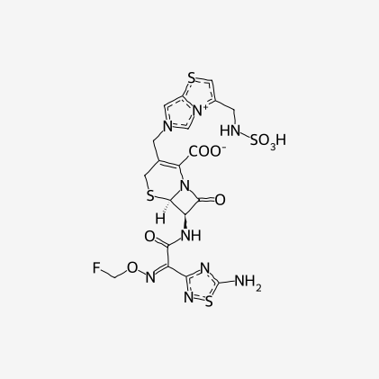 Nc1nc(/C(=N/OCF)C(=O)N[C@@H]2C(=O)N3C(C(=O)[O-])=C(Cn4cc5scc(CNS(=O)(=O)O)[n+]5c4)CS[C@H]23)ns1